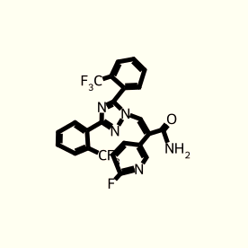 NC(=O)C(=Cn1nc(-c2ccccc2C(F)(F)F)nc1-c1ccccc1C(F)(F)F)c1ccc(F)nc1